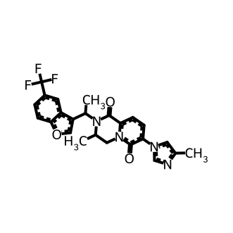 Cc1cn(-c2ccc3n(c2=O)CC(C)N(C(C)c2coc4ccc(C(F)(F)F)cc24)C3=O)cn1